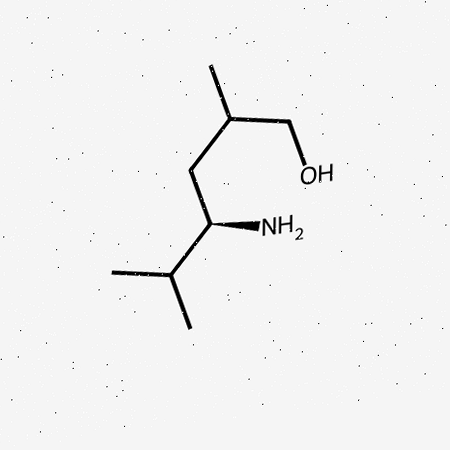 CC(CO)C[C@@H](N)C(C)C